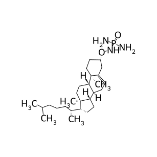 CC(C)CCC[C@@H](C)[C@H]1CC[C@H]2[C@@H]3CC=C4C[C@@H](ONP(N)(N)=O)CC[C@]4(C)[C@H]3CC[C@]12C